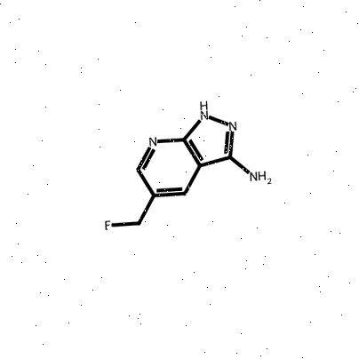 Nc1n[nH]c2ncc(CF)cc12